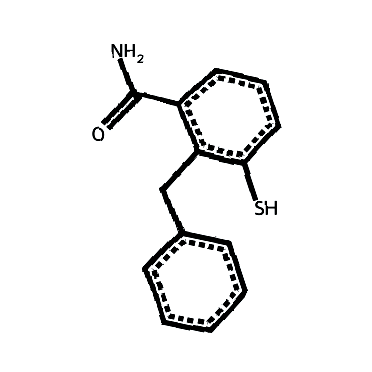 NC(=O)c1cccc(S)c1Cc1ccccc1